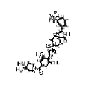 Cc1cc(C(=O)N2CCC(C)(O)CC2)cc(C)c1/C=C/S(=O)(=O)N1CCC2(CC1)N=C(c1cccc(S(F)(F)(F)(F)F)c1)NC2=O